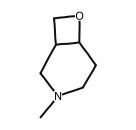 CN1CCC2OCC2C1